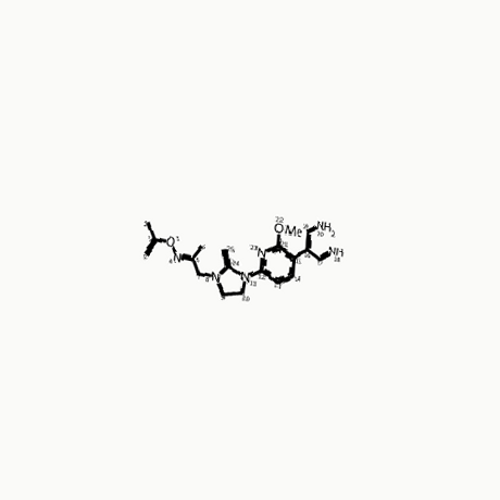 C=C(C)O/N=C(\C)CN1CCN(c2ccc(/C(C=N)=C/N)c(OC)n2)C1=C